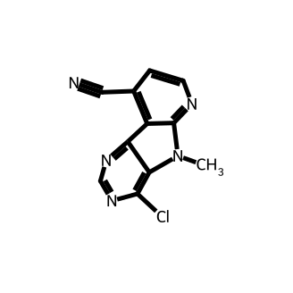 Cn1c2nccc(C#N)c2c2ncnc(Cl)c21